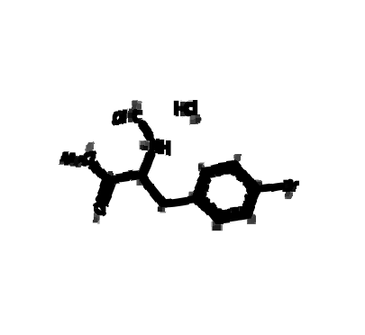 COC(=O)C(Cc1ccc(Br)cc1)NC=O.Cl